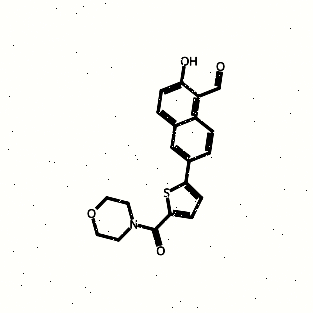 O=Cc1c(O)ccc2cc(-c3ccc(C(=O)N4CCOCC4)s3)ccc12